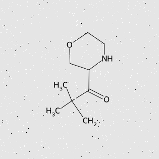 [CH2]C(C)(C)C(=O)C1COCCN1